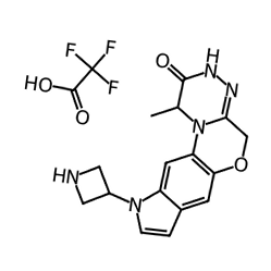 CC1C(=O)NN=C2COc3cc4ccn(C5CNC5)c4cc3N21.O=C(O)C(F)(F)F